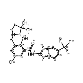 CC1(O)CCN(Cc2cc(Cl)cc(C(=O)Nc3nc4ccc(C(F)(F)F)cc4s3)c2O)C1